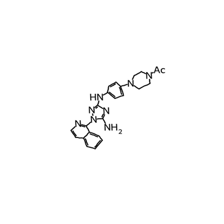 CC(=O)N1CCN(c2ccc(Nc3nc(N)n(-c4nccc5ccccc45)n3)cc2)CC1